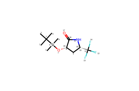 CC(C)(C)[Si](C)(C)O[C@H]1C[C@@H](C(F)(F)F)NC1=O